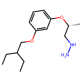 CCC(CC)COc1cccc(O[C@H](C)CNN)c1